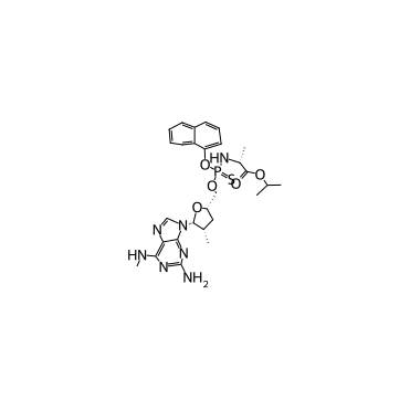 CNc1nc(N)nc2c1ncn2[C@@H]1O[C@H](CO[P@@](=S)(N[C@H](C)C(=O)OC(C)C)Oc2cccc3ccccc23)C[C@@H]1C